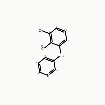 Clc1[c]ccc(Oc2cccnc2)c1Cl